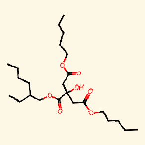 CCCCCOC(=O)CC(O)(CC(=O)OCCCCC)C(=O)OCC(CC)CCCC